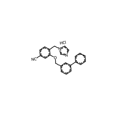 Cl.N#Cc1ccc(Cn2ccnc2)c(OCc2cccc(-c3ccccc3)c2)c1